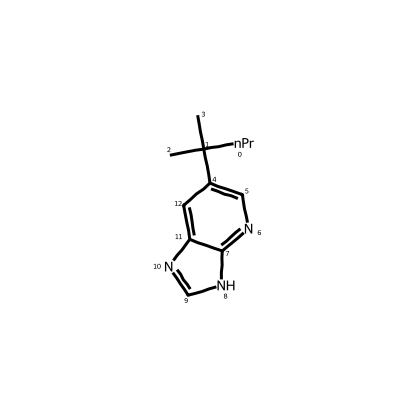 CCCC(C)(C)c1cnc2[nH]cnc2c1